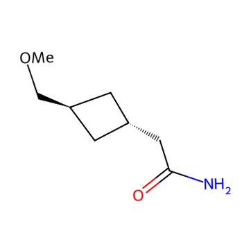 COC[C@H]1C[C@H](CC(N)=O)C1